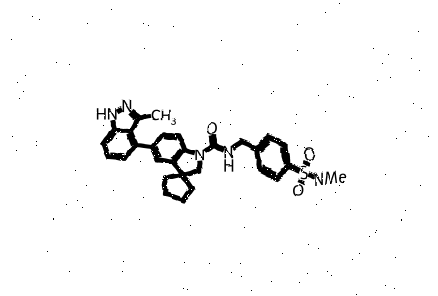 CNS(=O)(=O)c1ccc(CNC(=O)N2CC3(CCCC3)c3cc(-c4cccc5[nH]nc(C)c45)ccc32)cc1